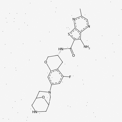 Cc1cnc2c(N)c(C(=O)N[C@H]3COc4cc(N5CC6CNCC(C5)O6)cc(F)c4C3)sc2n1